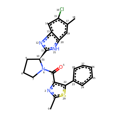 Cc1nc(C(=O)N2CCC[C@H]2c2nc3cc(Cl)c(C)cc3[nH]2)c(-c2ccccc2)s1